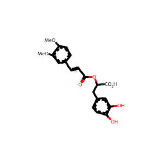 COc1ccc(/C=C/C(=O)OC(Cc2ccc(O)c(O)c2)C(=O)O)cc1OC